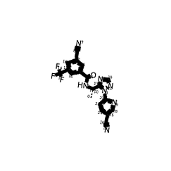 C[C@H](NC(=O)c1cc(C#N)cc(C(F)(F)F)c1)c1ncnn1-c1ccc(C#N)cn1